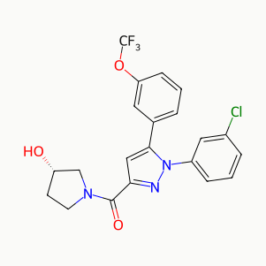 O=C(c1cc(-c2cccc(OC(F)(F)F)c2)n(-c2cccc(Cl)c2)n1)N1CC[C@H](O)C1